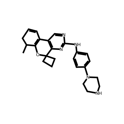 CC1CC=CC2=C1OC1(CCC1)c1nc(Nc3ccc(N4CCNCC4)cc3)ncc12